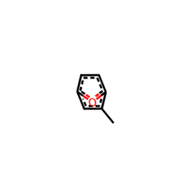 Cc1cc2ccc1o2